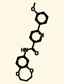 COc1cccc(-c2ccc(C(=O)Nc3ccc4c(c3)OCCCO4)cn2)c1